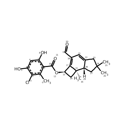 Cc1c(Cl)c(O)cc(O)c1C(=O)O[C@@H]1C[C@@]2(C)C1=C(C=O)C=C1CC(C)(C)C[C@@H]12